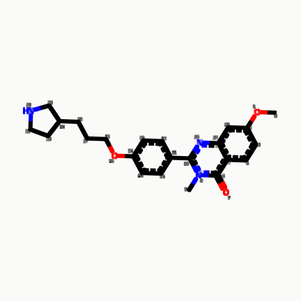 COc1ccc2c(=O)n(C)c(-c3ccc(OCCCC4CCNC4)cc3)nc2c1